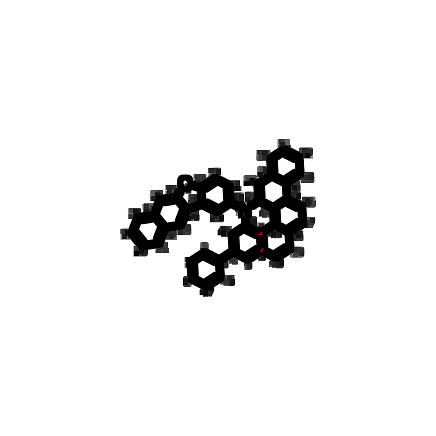 c1ccc(-c2cccc(N(c3ccc4oc5cc6ccccc6cc5c4c3)c3cc4ccccc4c4ccc5ccccc5c34)c2)cc1